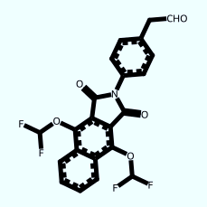 O=CCc1ccc(N2C(=O)c3c(c(OC(F)F)c4ccccc4c3OC(F)F)C2=O)cc1